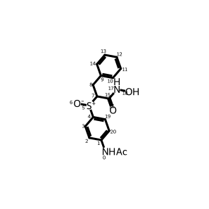 CC(=O)Nc1ccc([S+]([O-])C(Cc2ccccc2)C(=O)NO)cc1